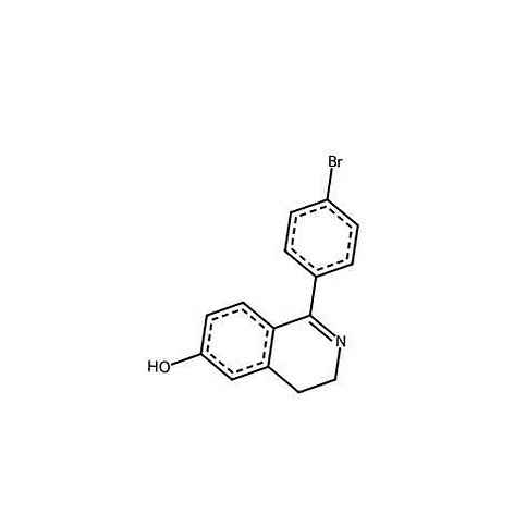 Oc1ccc2c(c1)CCN=C2c1ccc(Br)cc1